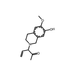 C=CC(C(C)=O)N1CCc2cc(OC)c(O)cc2C1